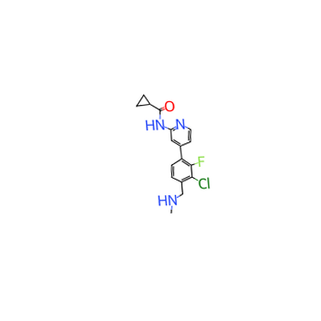 CNCc1ccc(-c2ccnc(NC(=O)C3CC3)c2)c(F)c1Cl